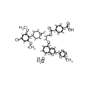 COc1cc(Cl)cc(OC)c1C1CCN(C[C@@H](COc2cccc3oc(-c4nnc(C)o4)cc23)OC(=O)c2ccc(C(=O)O)cc2)CC1.O.O